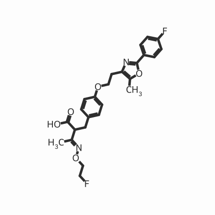 CC(=NOCCF)C(Cc1ccc(OCCc2nc(-c3ccc(F)cc3)oc2C)cc1)C(=O)O